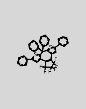 FC1(F)C2=C(c3cc(-c4ccccc4)sc3C(c3ccccc3)(c3ccccc3)c3sc(-c4ccccc4)cc32)C(F)(F)C1(F)F